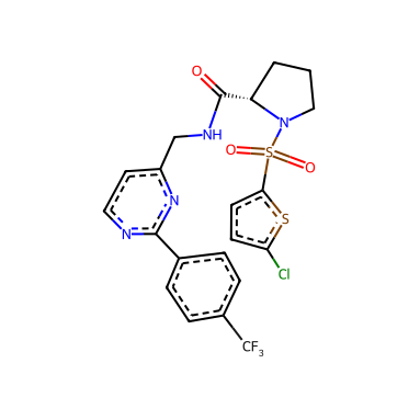 O=C(NCc1ccnc(-c2ccc(C(F)(F)F)cc2)n1)[C@@H]1CCCN1S(=O)(=O)c1ccc(Cl)s1